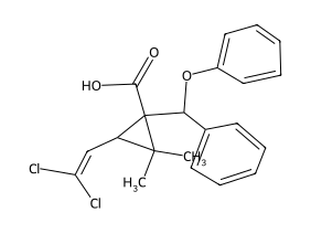 CC1(C)C(C=C(Cl)Cl)C1(C(=O)O)C(Oc1ccccc1)c1ccccc1